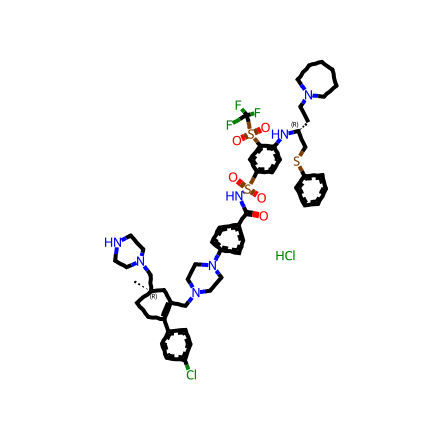 C[C@@]1(CN2CCNCC2)CCC(c2ccc(Cl)cc2)=C(CN2CCN(c3ccc(C(=O)NS(=O)(=O)c4ccc(N[C@H](CCN5CCCCCC5)CSc5ccccc5)c(S(=O)(=O)C(F)(F)F)c4)cc3)CC2)C1.Cl